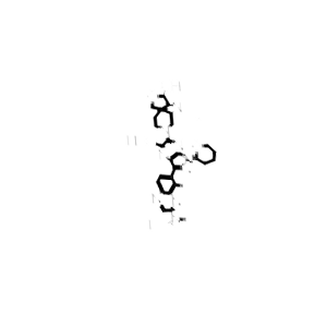 Cc1nc2c(-c3ccc4ncc(N(C)C)nc4c3Cl)nn(C3CCCCO3)c2nc1N1CCC2(CC1)CO[C@@H](C)[C@H]2N